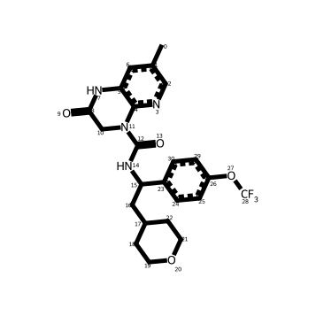 Cc1cnc2c(c1)NC(=O)CN2C(=O)NC(CC1CCOCC1)c1ccc(OC(F)(F)F)cc1